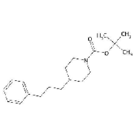 CC(C)(C)OC(=O)N1CCC(CCCc2ccccc2)CC1